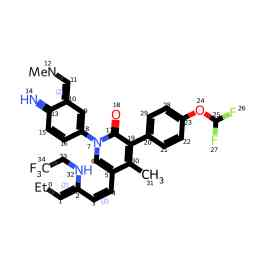 CC/C=C(/C=C\c1cn(C2=C/C(=C/NC)C(=N)C=C2)c(=O)c(-c2ccc(OC(F)F)cc2)c1C)NCC(F)(F)F